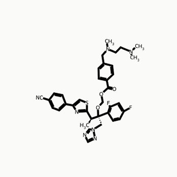 C[C@@H](c1nc(-c2ccc(C#N)cc2)cs1)[C@@](Cn1cncn1)(OCOC(=O)c1ccc(CN(C)CCN(C)C)cc1)c1ccc(F)cc1F